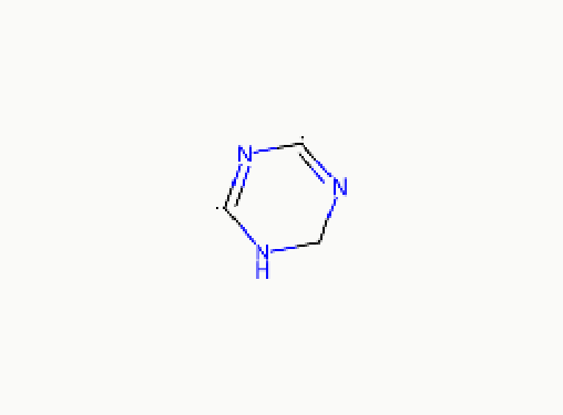 [C]1=N[C]=NCN1